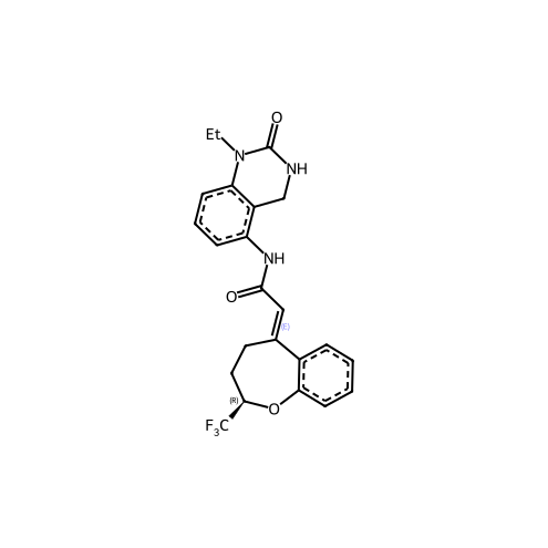 CCN1C(=O)NCc2c(NC(=O)/C=C3\CC[C@H](C(F)(F)F)Oc4ccccc43)cccc21